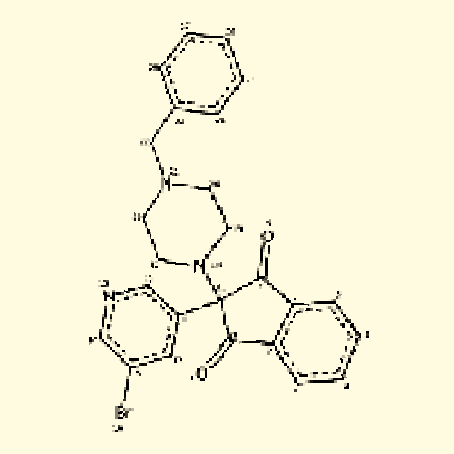 O=C1c2ccccc2C(=O)C1(c1cncc(Br)c1)N1CCN(Cc2ccccc2)CC1